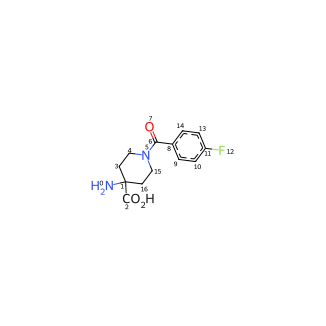 NC1(C(=O)O)CCN(C(=O)c2ccc(F)cc2)CC1